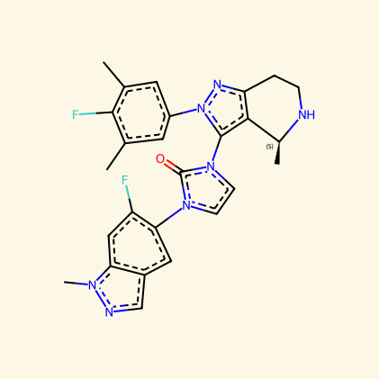 Cc1cc(-n2nc3c(c2-n2ccn(-c4cc5cnn(C)c5cc4F)c2=O)[C@H](C)NCC3)cc(C)c1F